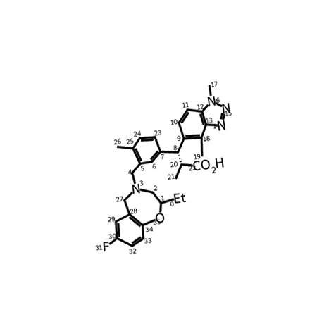 CCC1CN(Cc2cc([C@H](c3ccc4c(nnn4C)c3C)C(C)C(=O)O)ccc2C)Cc2cc(F)ccc2O1